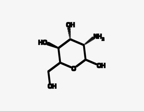 N[C@@H]1C(O)OC(CO)[C@@H](O)[C@@H]1O